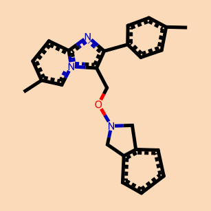 Cc1ccc(-c2nc3ccc(C)cn3c2CON2Cc3ccccc3C2)cc1